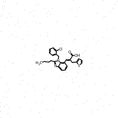 CCCCc1nc2cccc(/C=C(\Cc3cccs3)C(=O)O)c2n1Cc1ccccc1Cl